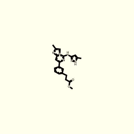 COC(=O)CCc1cccc(-c2cc3nc(C)cn3c(Nc3cc(C)[nH]n3)n2)c1